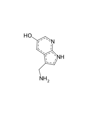 NCc1c[nH]c2ncc(O)cc12